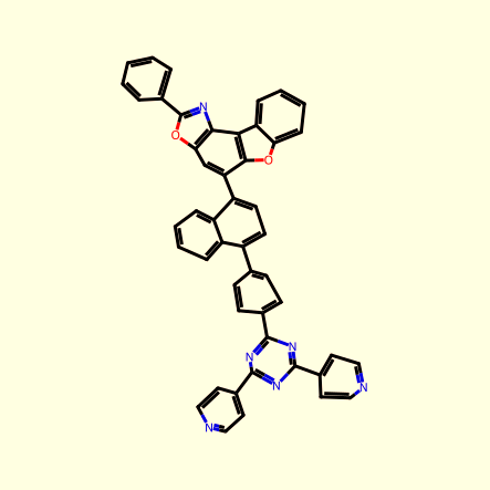 c1ccc(-c2nc3c(cc(-c4ccc(-c5ccc(-c6nc(-c7ccncc7)nc(-c7ccncc7)n6)cc5)c5ccccc45)c4oc5ccccc5c43)o2)cc1